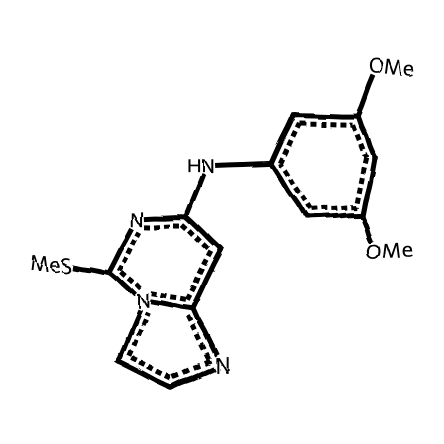 COc1cc(Nc2cc3nccn3c(SC)n2)cc(OC)c1